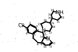 Clc1ccc2c(c1)CCc1cccnc1C2N1CCC(C2CCNCC2)CC1